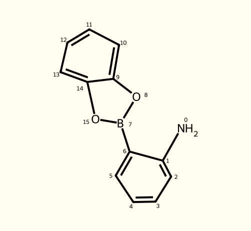 Nc1ccccc1B1Oc2ccccc2O1